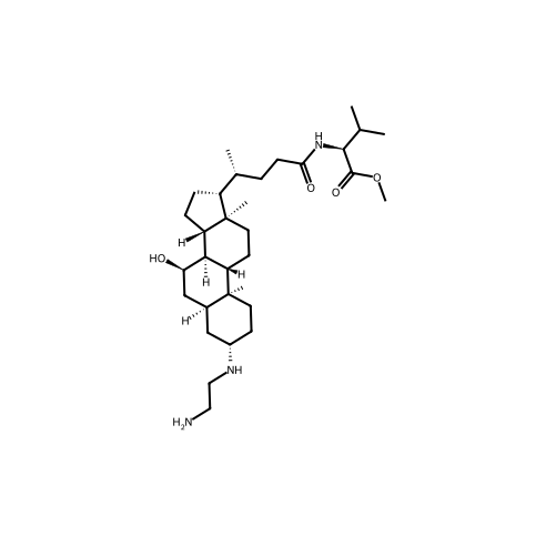 COC(=O)[C@@H](NC(=O)CC[C@@H](C)[C@H]1CC[C@H]2[C@@H]3[C@H](O)C[C@@H]4C[C@@H](NCCN)CC[C@]4(C)[C@H]3CC[C@]12C)C(C)C